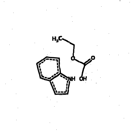 CCOC(=O)O.c1ccc2[nH]ccc2c1